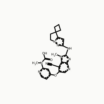 CN(C(=O)O)c1cc(Oc2cnc3nc(Nc4cc5n(n4)CCC54CCC4)n(C)c3c2C#N)ccn1